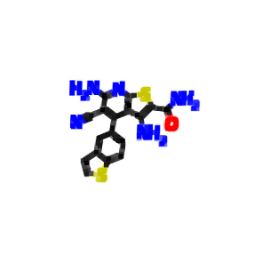 N#Cc1c(N)nc2sc(C(N)=O)c(N)c2c1-c1ccc2sccc2c1